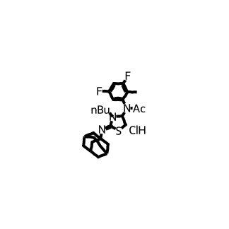 CCCCN1C(=NC23CC4CC(CC(C4)C2)C3)SCC1N(C(C)=O)c1cc(F)cc(F)c1C.Cl